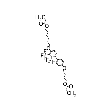 C=CC(=O)OCCCCCCOc1ccc(-c2ccc(OCCCCOC(=O)C=C)cc2)c(C(F)(F)F)c1C(F)(F)F